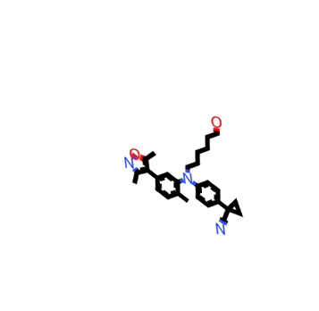 Cc1ccc(-c2c(C)noc2C)cc1N(CCCCCC=O)c1ccc(C2(C#N)CC2)cc1